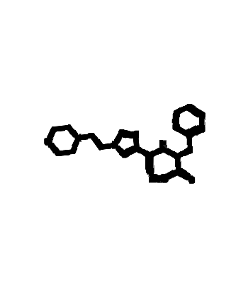 COC(=O)[C@H](Cc1ccccc1)NC(=O)c1cn(CCN2CCOCC2)cn1